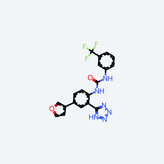 O=C(Nc1cccc(C(F)(F)F)c1)Nc1ccc(-c2ccoc2)cc1-c1nnn[nH]1